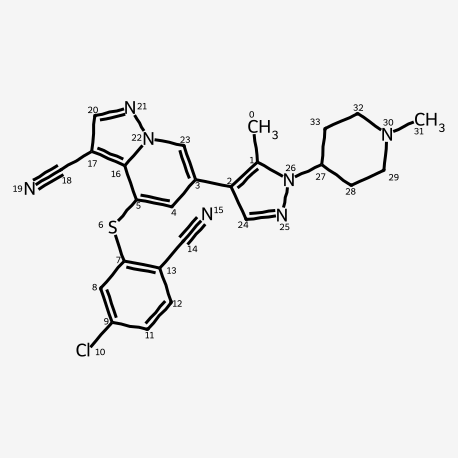 Cc1c(-c2cc(Sc3cc(Cl)ccc3C#N)c3c(C#N)cnn3c2)cnn1C1CCN(C)CC1